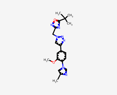 COc1cc(-c2cn(Cc3noc(C(C)(C)C)n3)nn2)ccc1-n1cnc(C)c1